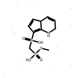 COP(=O)(O)CP(=O)(O)C1=C2NCC=CC2C=C1